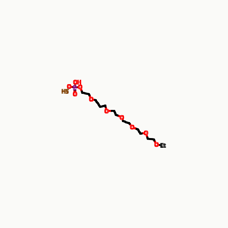 CCOCCOCCOCCOCCOCCCOCCOP(=O)(O)OS